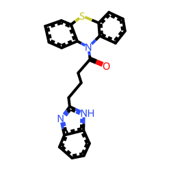 O=C(CCCc1nc2ccccc2[nH]1)N1c2ccccc2Sc2ccccc21